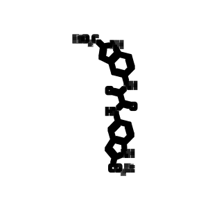 CCOC(=O)c1cc2cc(NC(=O)C(=O)Nc3ccc4[nH]c(C(=O)OCC)cc4c3)ccc2[nH]1